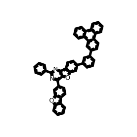 c1ccc(-c2nc(-c3ccc4c(c3)oc3ccccc34)c3oc4cc(-c5cccc(-c6ccc7c8ccccc8c8ccccc8c7c6)c5)ccc4c3n2)cc1